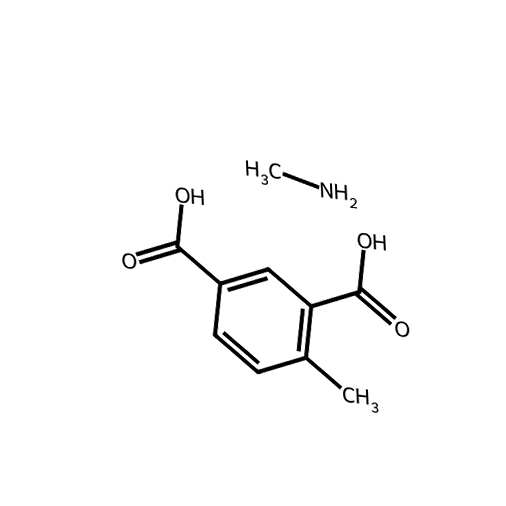 CN.Cc1ccc(C(=O)O)cc1C(=O)O